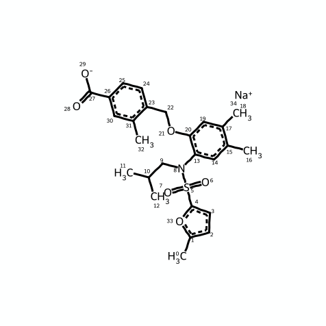 Cc1ccc(S(=O)(=O)N(CC(C)C)c2cc(C)c(C)cc2OCc2ccc(C(=O)[O-])cc2C)o1.[Na+]